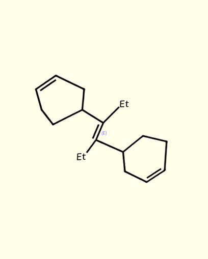 CC/C(=C(/CC)C1CC=CCC1)C1CC=CCC1